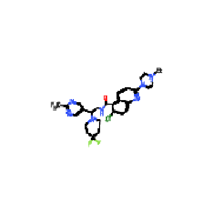 CCN1CCN(c2ccc3c(C(=O)NCC(c4cnc(C(F)(F)F)nc4)N4CCC(F)(F)CC4)c(Cl)ccc3n2)CC1